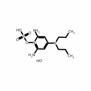 CCCN(CCC)c1cc(N)[n+](OS(=O)(=O)O)c(N)c1.[OH-]